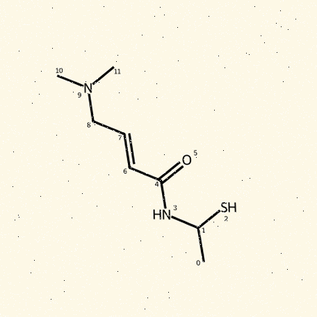 CC(S)NC(=O)/C=C/CN(C)C